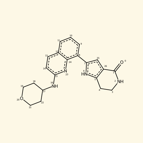 O=C1NCCc2[nH]c(-c3cccc4ccc(NC5CCOCC5)nc34)cc21